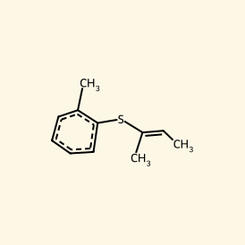 C/C=C(\C)Sc1ccccc1C